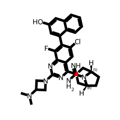 CN(C)C1CN(c2nc(N3C[C@H]4CC[C@@H](C3)N4C(=N)N)c3cc(Cl)c(-c4cc(O)cc5ccccc45)c(F)c3n2)C1